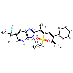 C=C/C(=C\C(=C(/C)c1nc2cc(C(C)(F)F)cnc2n1C)S(=O)(=O)CC)C1CCCCC1